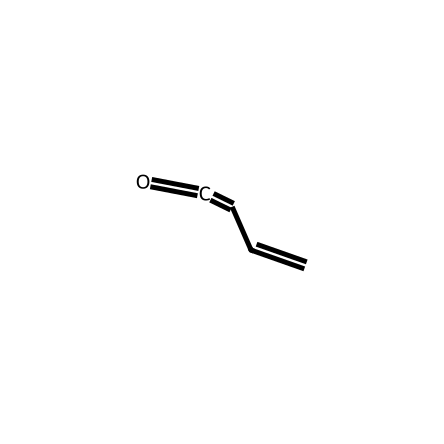 C=CC=C=O